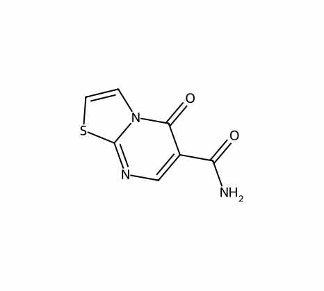 NC(=O)c1cnc2sccn2c1=O